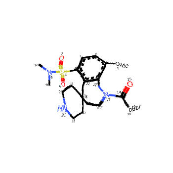 COc1ccc(S(=O)(=O)N(C)C)c2c1N(C(=O)C(C)(C)C)CC21CCNCC1